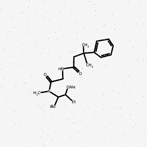 CCC(C)C(C(CC)OC)N(C)C(=O)CNC(=O)CC(C)(C)c1ccccc1